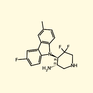 Cc1ccc2c(c1)c1cc(F)ccc1n2[C@@H]1[C@@H](N)CNCC1(F)F